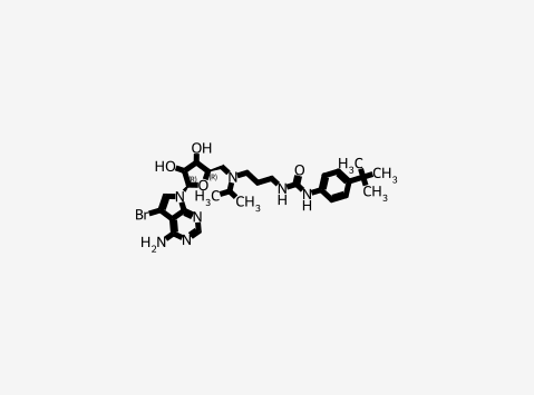 CC(C)N(CCCNC(=O)Nc1ccc(C(C)(C)C)cc1)C[C@H]1O[C@@H](n2cc(Br)c3c(N)ncnc32)C(O)C1O